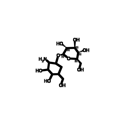 NC1C(O[C@H]2O[C@H](CO)[C@@H](O)[C@H](O)[C@H]2O)CC(CO)C(O)C1O